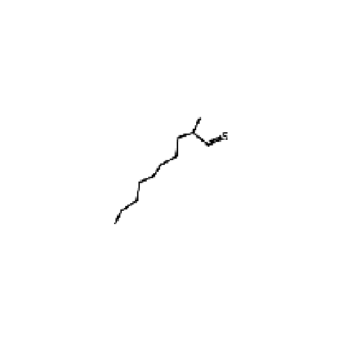 CCCCCCCCC(C)C=S